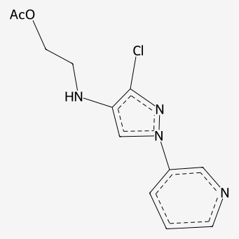 CC(=O)OCCNc1cn(-c2cccnc2)nc1Cl